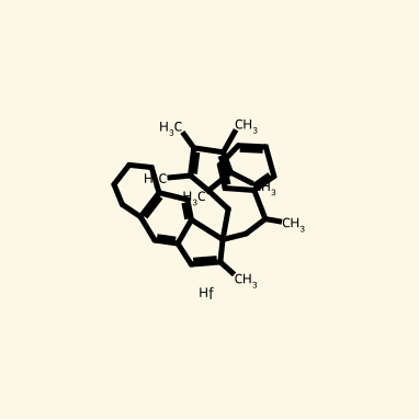 CC1=Cc2cc3c(cc2C1(CC(C)c1ccccc1)CC1(C)C(C)=C(C)C(C)=C1C)CCCC3.[Hf]